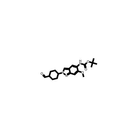 COc1cc2nn(C3CCC(C=O)CC3)cc2cc1NC(=O)OC(C)(C)C